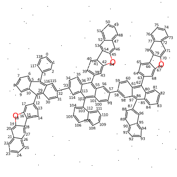 c1ccc(-c2c3ccccc3c(-c3ccc4c(c3)oc3cc5ccccc5cc34)c3ccc(-c4ccc5c(-c6ccc7c(c6)oc6cc8ccccc8cc67)c6cc(-c7ccc8c(-c9ccc%10c(c9)oc9cc%11ccccc%11cc9%10)c9ccccc9c(-c9ccc%10ccccc%10c9)c8c7)ccc6c(-c6cccc7ccccc67)c5c4)cc23)cc1